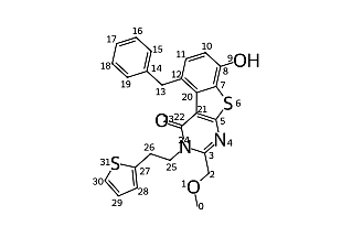 COCc1nc2sc3c(O)ccc(Cc4ccccc4)c3c2c(=O)n1CCc1cccs1